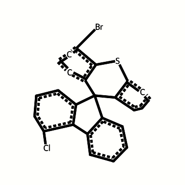 Clc1cccc2c1-c1ccccc1C21c2ccccc2Sc2c(Br)cccc21